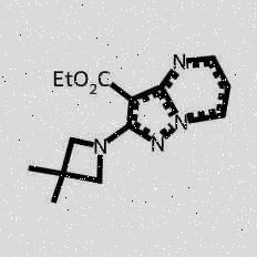 CCOC(=O)c1c(N2CC(C)(C)C2)nn2cccnc12